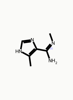 C/N=C(/N)c1nc[nH]c1C